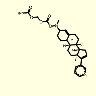 CC(C)C(=O)OCOC(=O)ON(C)C1C=C2CC[C@H]3[C@H](CC[C@]4(C)C(c5cccnc5)=CC[C@@H]34)[C@@]2(C)CC1